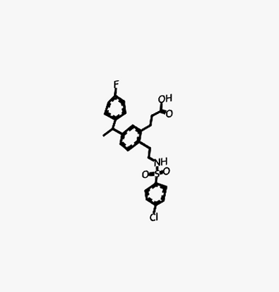 CC(c1ccc(F)cc1)c1ccc(CCNS(=O)(=O)c2ccc(Cl)cc2)c(CCC(=O)O)c1